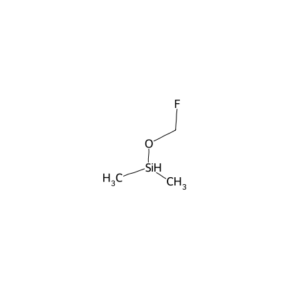 C[SiH](C)OCF